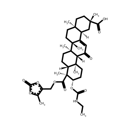 CCNC(=O)O[C@H]1CC[C@@]2(C)[C@@H](CC[C@]3(C)[C@@H]2C(=O)C=C2[C@@H]4C[C@@](C)(C(=O)O)CC[C@]4(C)CC[C@]23C)[C@]1(C)C(=O)OCc1oc(=O)oc1C